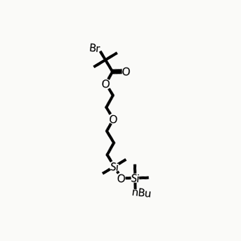 CCCC[Si](C)(C)O[Si](C)(C)CCCOCCOC(=O)C(C)(C)Br